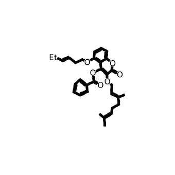 CCC=CCCOc1cccc2oc(=O)c(OC/C=C(\C)CCC=C(C)C)c(OC(=O)c3ccccc3)c12